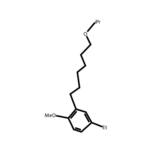 CCc1ccc(OC)c(CCCCCCOC(C)C)c1